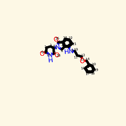 O=C1CCC(N2Cc3c(NCCCOCc4ccccc4)cccc3C2=O)C(=O)N1